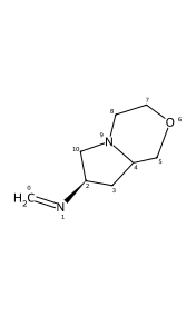 C=N[C@@H]1CC2COCCN2C1